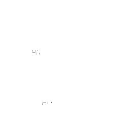 CCCO.CNC1CCCCCCC1(C)C